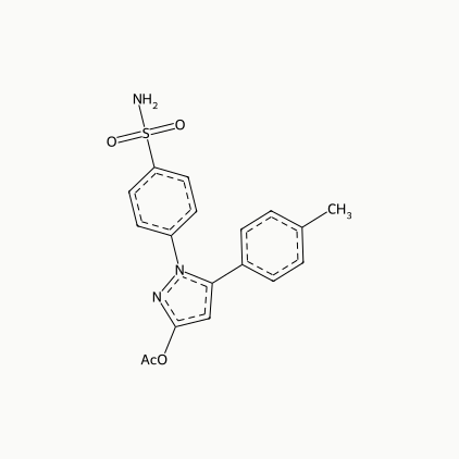 CC(=O)Oc1cc(-c2ccc(C)cc2)n(-c2ccc(S(N)(=O)=O)cc2)n1